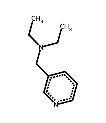 CCN(CC)Cc1cccnc1